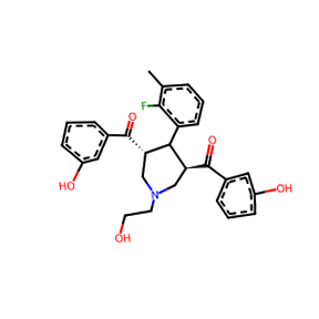 Cc1cccc(C2[C@@H](C(=O)c3cccc(O)c3)CN(CCO)C[C@@H]2C(=O)c2cccc(O)c2)c1F